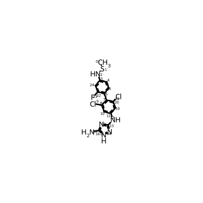 CSNc1ccc(-c2c(Cl)cc(Nc3n[nH]c(N)n3)cc2Cl)c(F)c1